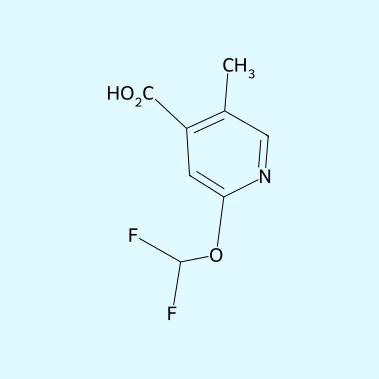 Cc1cnc(OC(F)F)cc1C(=O)O